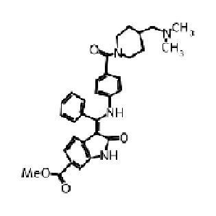 COC(=O)c1ccc2c(c1)NC(=O)/C2=C(\Nc1ccc(C(=O)N2CCC(CN(C)C)CC2)cc1)c1ccccc1